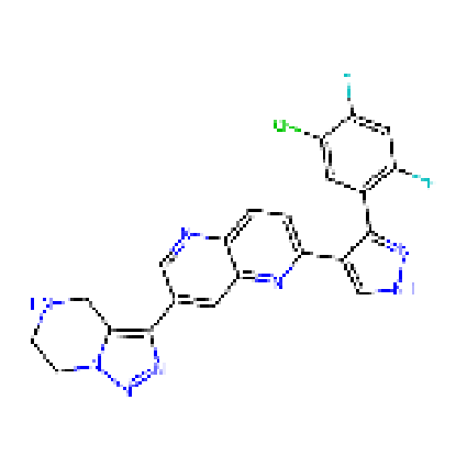 Fc1cc(F)c(-c2n[nH]cc2-c2ccc3ncc(-c4nnn5c4CNCC5)cc3n2)cc1Cl